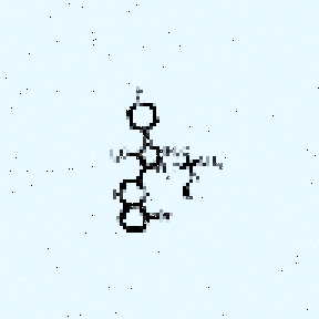 CC(C)(C)OC=O.Cc1c(-c2cnc3cccc(Br)c3n2)cnn1C1CCNCC1